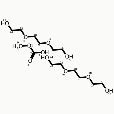 COC(=O)O.OCCOCCOCCO.OCCOCCOCCO